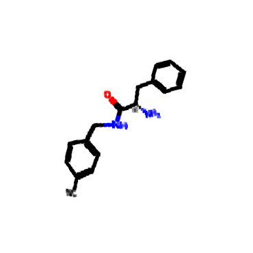 N#Cc1ccc(CNC(=O)[C@@H](N)Cc2ccccc2)cc1